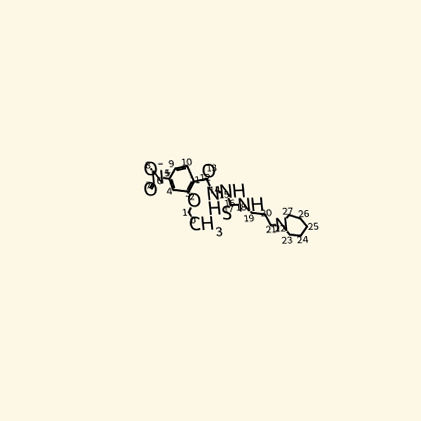 CCOc1cc([N+](=O)[O-])ccc1C(=O)NNC(=S)NCCCN1CCCCC1